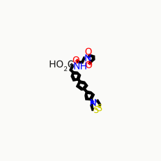 O=C(CCN1C(=O)C=CC1=O)NC(Cc1ccc(-c2ccc(-c3ccc(N4CCSSCC4)cc3)cc2)cc1)C(=O)O